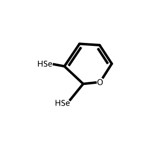 [SeH]C1=CC=COC1[SeH]